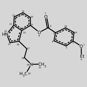 CCOc1ccc(C(=O)Oc2cccc3[nH]cc(CCN(C)C)c23)cc1